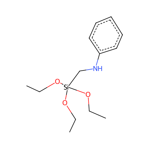 CCO[Si](CNc1ccccc1)(OCC)OCC